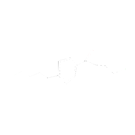 O=C(CCCCl)c1ccc(CCCCCl)cc1